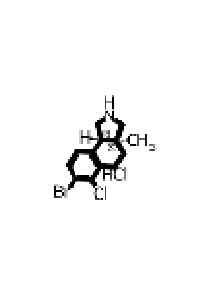 C[C@]12CCc3c(ccc(Br)c3Cl)[C@H]1CNC2.Cl